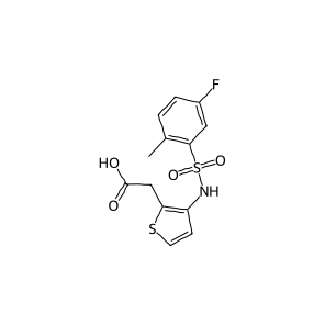 Cc1ccc(F)cc1S(=O)(=O)Nc1ccsc1CC(=O)O